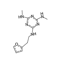 CNc1nc(NC)nc(NCCc2ccco2)n1